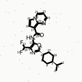 CC(C)[C@H]1CC[C@H](c2nc(C(F)F)c(NC(=O)c3ccn4cccnc34)o2)CC1